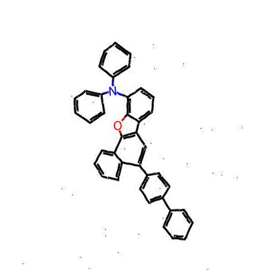 c1ccc(-c2ccc(-c3cc4c5cccc(N(c6ccccc6)c6ccccc6)c5oc4c4ccccc34)cc2)cc1